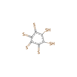 S=c1c(S)c(S)c(=S)c(=S)c1=S